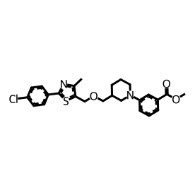 COC(=O)c1cccc(N2CCCC(COCc3sc(-c4ccc(Cl)cc4)nc3C)C2)c1